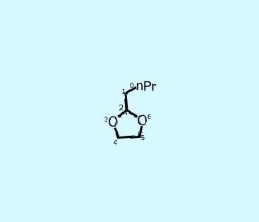 CCCC[C]1OCCO1